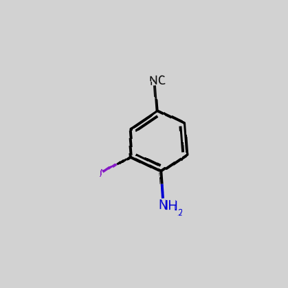 [C-]#[N+]c1ccc(N)c(I)c1